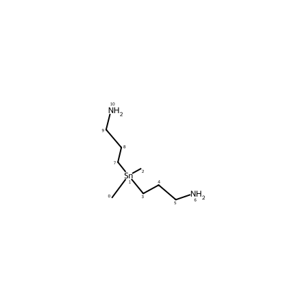 [CH3][Sn]([CH3])([CH2]CCN)[CH2]CCN